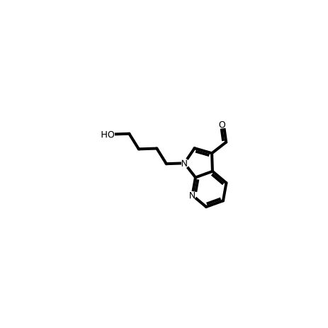 O=Cc1cn(CCCCO)c2ncccc12